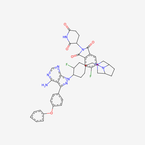 Nc1ncnc2c1c(-c1ccc(Oc3ccccc3)cc1)nn2C1CCC(CN2CC3CCC(C2)N3c2cc3c(cc2F)C(=O)N(C2CCC(=O)NC2=O)C3=O)CC1F